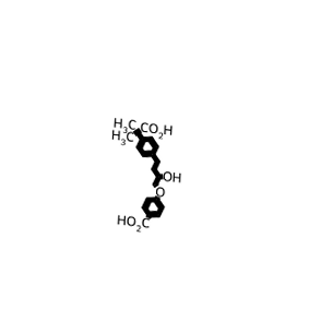 CC(C)(C(=O)O)c1ccc(CCC(O)COc2ccc(C(=O)O)cc2)cc1